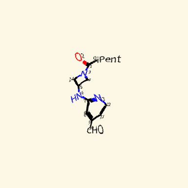 CCCC(C)C(=O)N1CC(Nc2cc(C=O)ccn2)C1